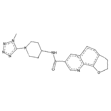 Cn1nnnc1N1CCC(NC(=O)c2cnc3c4c(ccc3c2)CCO4)CC1